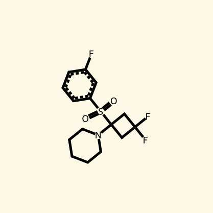 O=S(=O)(c1cccc(F)c1)C1(N2CCCCC2)CC(F)(F)C1